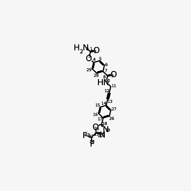 NC(=O)Oc1ccc(C(=O)NCC#Cc2ccc(-c3nnc(C(F)F)o3)cc2)cc1